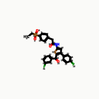 CCS(=O)(=O)c1ccc(CC(=O)Nc2cc(-c3ccc(F)cc3)c(C(=O)c3cccc(F)c3)s2)cc1